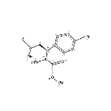 CC(O)C[C@@H](c1ccc(C#N)cc1)N(O)C(=O)OC(C)(C)C